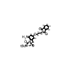 CC(C)(C)OC(=O)N=S(C)(=O)Cc1cc(N)cc(OCCCN2C(=O)c3ccccc3C2=O)c1